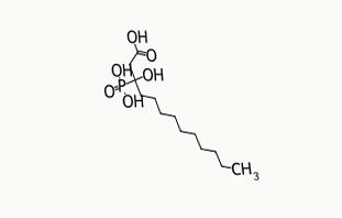 CCCCCCCCCCC(O)(CC(=O)O)P(=O)(O)O